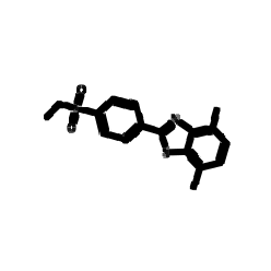 CCS(=O)(=O)c1ccc(-c2nc3c(C)ccc(C)c3s2)cc1